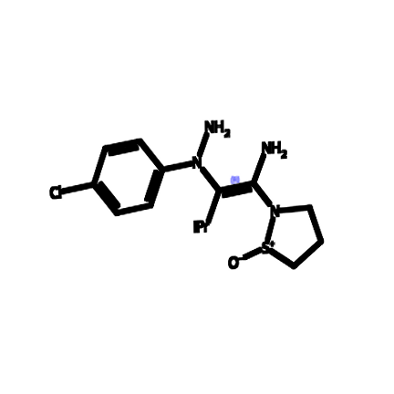 CC(C)/C(=C(/N)N1CCC[S+]1[O-])N(N)c1ccc(Cl)cc1